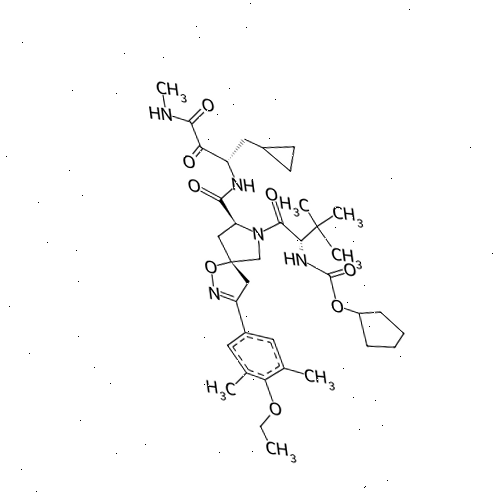 CCOc1c(C)cc(C2=NO[C@]3(C2)C[C@@H](C(=O)N[C@@H](CC2CC2)C(=O)C(=O)NC)N(C(=O)[C@@H](NC(=O)OC2CCCC2)C(C)(C)C)C3)cc1C